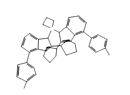 CCc1ccc(-c2cccc3c2C=C(C2CCCC2)[CH]3[Ti+2]2([CH]3C(C4CCCC4)=Cc4c(-c5ccc(CC)cc5)cccc43)[CH2]C[CH2]2)cc1.[Cl-].[Cl-]